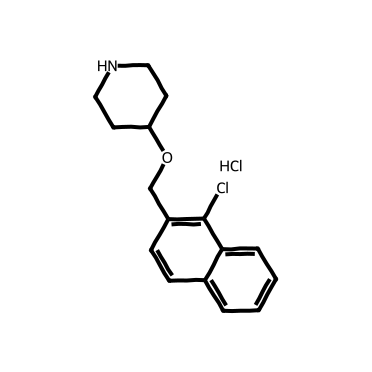 Cl.Clc1c(COC2CCNCC2)ccc2ccccc12